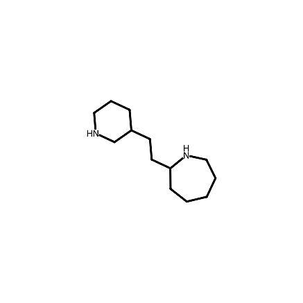 C1CCNC(CCC2CCCNC2)CC1